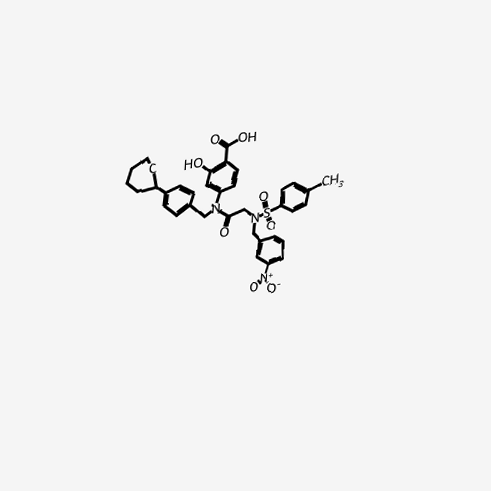 Cc1ccc(S(=O)(=O)N(CC(=O)N(Cc2ccc(C3CCCCC3)cc2)c2ccc(C(=O)O)c(O)c2)Cc2cccc([N+](=O)[O-])c2)cc1